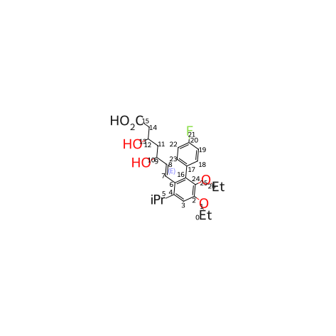 CCOc1cc(C(C)C)c(/C=C/C(O)CC(O)CC(=O)O)c(-c2ccc(F)cc2)c1OCC